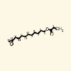 C=CC(=O)OCCCCCCCCCCC1CO1